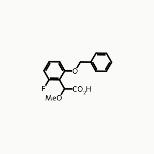 COC(C(=O)O)c1c(F)cccc1OCc1ccccc1